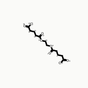 O=C(Cl)CCCC(=O)OCCOC(=O)CCCC(=O)Cl